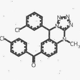 CN1c2ccc(C(=O)c3ccc(Cl)cc3)cc2C(c2cccc(Cl)c2)n2nnnc21